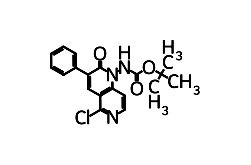 CC(C)(C)OC(=O)Nn1c(=O)c(-c2ccccc2)cc2c(Cl)nccc21